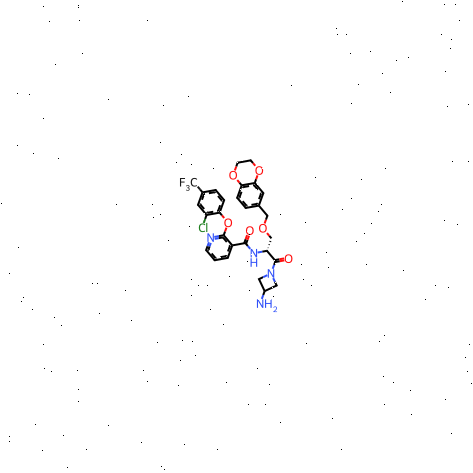 NC1CN(C(=O)[C@@H](COCc2ccc3c(c2)OCCO3)NC(=O)c2cccnc2Oc2ccc(C(F)(F)F)cc2Cl)C1